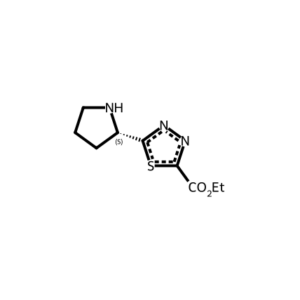 CCOC(=O)c1nnc([C@@H]2CCCN2)s1